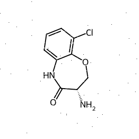 N[C@H]1COc2c(Cl)cccc2NC1=O